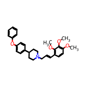 COc1ccc(C=CCN2CCC(c3ccc(Oc4ccccc4)cc3)CC2)c(OC)c1OC